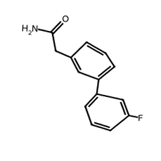 NC(=O)Cc1cccc(-c2cccc(F)c2)c1